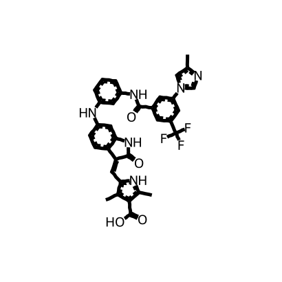 Cc1cn(-c2cc(C(=O)Nc3cccc(Nc4ccc5c(c4)NC(=O)C5=Cc4[nH]c(C)c(C(=O)O)c4C)c3)cc(C(F)(F)F)c2)cn1